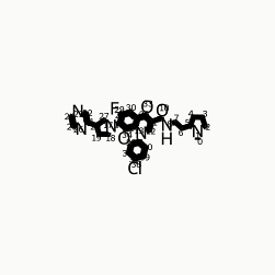 CN1CCCC1CCNC(=O)c1cn2c3c(c(N4CCC(c5cnccn5)C4)c(F)cc3c1=O)Oc1cc(Cl)ccc1-2